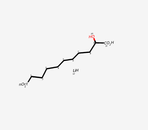 CCCCCCCCCCCCCCCCC(O)C(=O)O.[LiH]